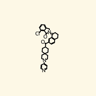 O=C(c1ccc2c(c1)[C@H](N1Cc3cccc(Cl)c3C1=O)CCC2)C1CCC2(CC1)CCN(c1ccncc1)CC2